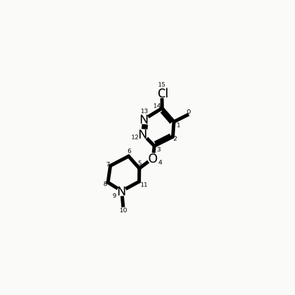 Cc1cc(OC2CCCN(C)C2)nnc1Cl